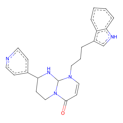 O=C1C=CN(CCCc2c[nH]c3ccccc23)C2NC(c3ccncc3)CCN12